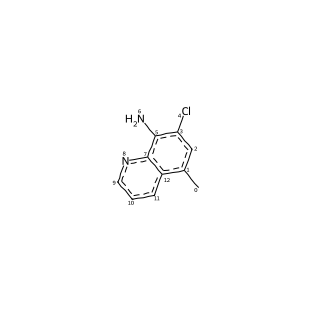 Cc1cc(Cl)c(N)c2ncccc12